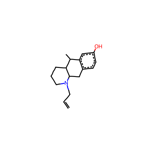 C=CCN1CCCC2C(C)c3cc(O)ccc3CC21